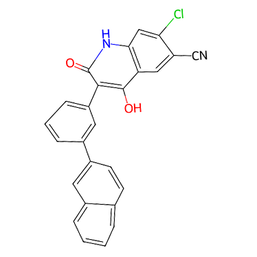 N#Cc1cc2c(O)c(-c3cccc(-c4ccc5ccccc5c4)c3)c(=O)[nH]c2cc1Cl